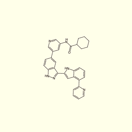 O=C(Nc1cncc(-c2ccc3[nH]nc(-c4cc5c(-c6ccccn6)cccc5[nH]4)c3c2)c1)C1CCCCC1